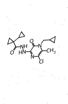 Cc1c(Cl)nc(NNC(=O)C2(C3CC3)CC2)c(=O)n1CC1CC1